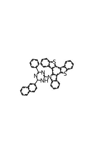 c1ccc(C2=NC(c3ccc4ccccc4c3)NC(n3c4ccccc4c4c5sc6ccccc6c5c5sc6ccccc6c5c43)=N2)cc1